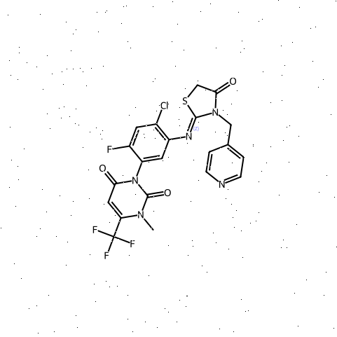 Cn1c(C(F)(F)F)cc(=O)n(-c2cc(/N=C3\SCC(=O)N3Cc3ccncc3)c(Cl)cc2F)c1=O